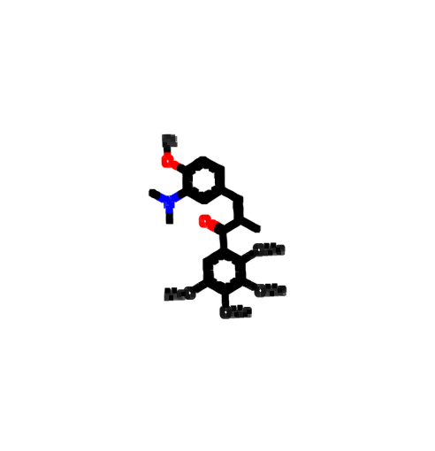 CCOc1ccc(C=C(C)C(=O)c2cc(OC)c(OC)c(OC)c2OC)cc1N(C)C